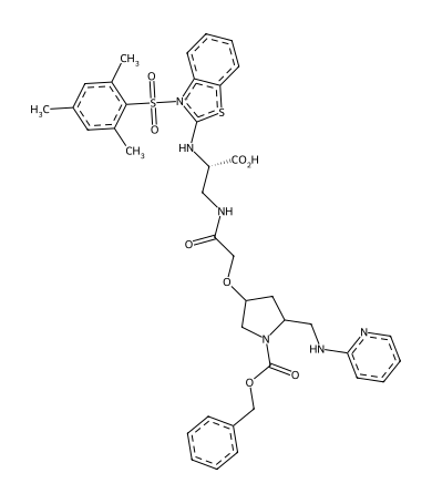 Cc1cc(C)c(S(=O)(=O)[n+]2c(N[C@@H](CNC(=O)COC3CC(CNc4ccccn4)N(C(=O)OCc4ccccc4)C3)C(=O)O)sc3ccccc32)c(C)c1